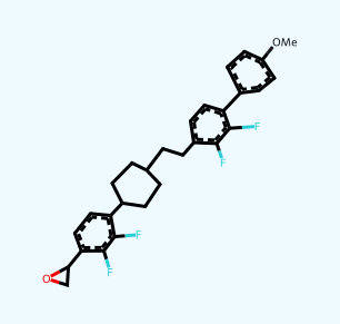 COc1ccc(-c2ccc(CCC3CCC(c4ccc(C5CO5)c(F)c4F)CC3)c(F)c2F)cc1